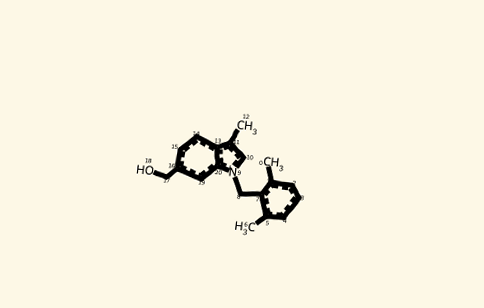 Cc1cccc(C)c1Cn1cc(C)c2ccc(CO)cc21